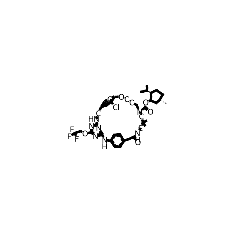 CC(C)[C@H]1CC[C@H](C)CC1OC(=O)N1CCCOc2ccc(cc2Cl)CNc2nc(nc(OCC(F)(F)F)n2)Nc2ccc(cc2)C(=O)NCC(C)(C)C1